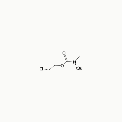 CN(C(=O)OCCCl)C(C)(C)C